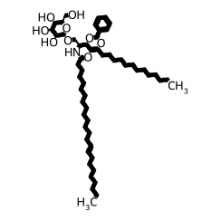 CCCCCCCC/C=C/CCCCCCCCCCCCCC(=O)N[C@@H](CO[C@H]1O[C@H](CO)[C@H](O)[C@H](O)[C@H]1O)[C@@H](/C=C/CCCCCCCCCCCCC)OC(=O)c1ccccc1